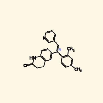 Cc1ccc(/C(=C/c2cccnc2)c2ccc3c(c2)CCC(=O)N3)c(C)c1